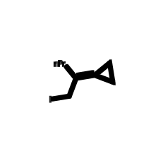 CCCC(CI)=C1CC1